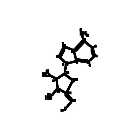 Nc1ncnc2c1ncn2[C@@H]1O/C(=C/F)C(O)C1O